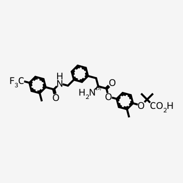 Cc1cc(OC(=O)[C@@H](N)Cc2cccc(CNC(=O)c3ccc(C(F)(F)F)cc3C)c2)ccc1OC(C)(C)C(=O)O